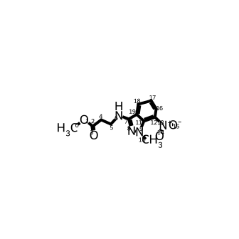 COC(=O)CCNc1nn(C)c2c([N+](=O)[O-])cccc12